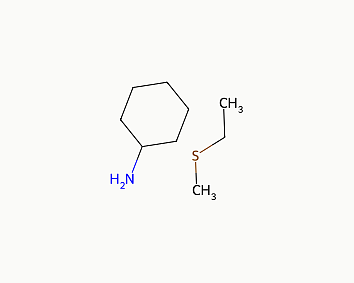 CCSC.NC1CCCCC1